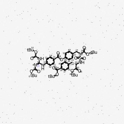 CC(C)(C)OC(=O)/N=C(/NC(=O)OC(C)(C)C)Nc1ccc(C(=O)Oc2ccc(CN(C(=O)OC(C)(C)C)S(=O)(=O)N[C@@H](Cc3ccc(C(=O)OC(C)(C)C)cc3)C(=O)OC(C)(C)C)cc2)cc1